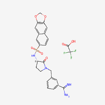 N=C(N)c1cccc(CN2CC[C@H](NS(=O)(=O)c3ccc4cc5c(cc4c3)OCO5)C2=O)c1.O=C(O)C(F)(F)F